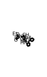 CCOC1OC(=O)CC1NC(=O)C(C)NC(=O)C(=O)Nc1ccccc1Cc1ccccc1